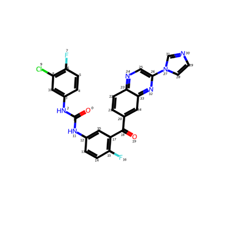 O=C(Nc1ccc(F)c(Cl)c1)Nc1ccc(F)c(C(=O)c2ccc3ncc(-n4ccnc4)nc3c2)c1